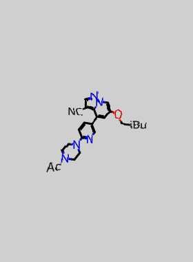 CCC(C)COc1cc(-c2ccc(N3CCN(C(C)=O)CC3)nc2)c2c(C#N)cnn2c1